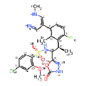 CN/C=C(\C=N)c1ccc(F)c([C@@H](C)[C@H](NS(=O)(=O)c2ccc(Cl)cc2OC)c2n[nH]c(=O)o2)c1C